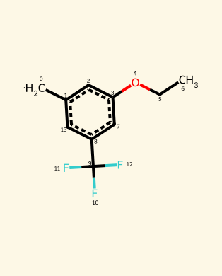 [CH2]c1cc(OCC)cc(C(F)(F)F)c1